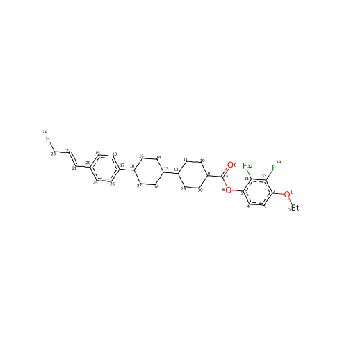 CCOc1ccc(OC(=O)C2CCC(C3CCC(c4ccc(/C=C/CF)cc4)CC3)CC2)c(F)c1F